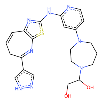 OCC(O)N1CCCN(c2ccnc(Nc3nc4c(s3)N=C(c3cn[nH]c3)CC=C4)c2)CC1